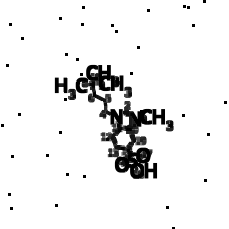 Cn1c[n+](CCCC(C)(C)C)c2ccc(S(=O)(=O)O)cc21